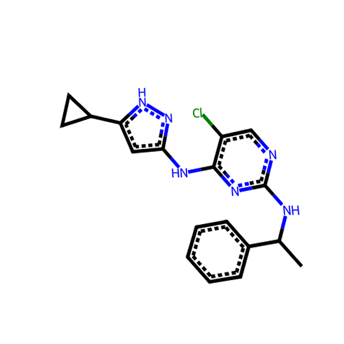 CC(Nc1ncc(Cl)c(Nc2cc(C3CC3)[nH]n2)n1)c1ccccc1